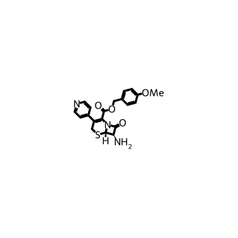 COc1ccc(COC(=O)C2=C(c3ccncc3)CS[C@H]3[C@@H](N)C(=O)N23)cc1